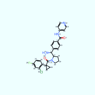 NC(c1ccc(C(=O)Nc2ccncc2)cc1)C1CCCN1C(=O)C1(c2ccc(F)cc2Cl)CC1